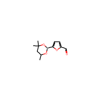 CC1CC(C)(C)OB(c2ccc(C=O)o2)O1